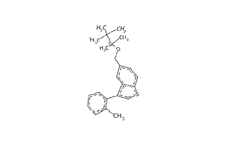 Cc1ccccc1-c1csc2ccc(CO[Si](C)(C)C(C)(C)C)cc12